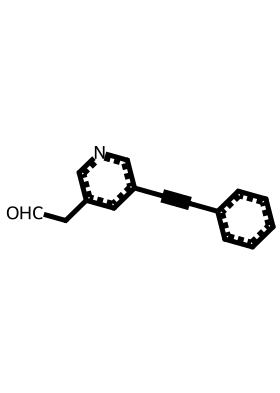 O=CCc1cncc(C#Cc2ccccc2)c1